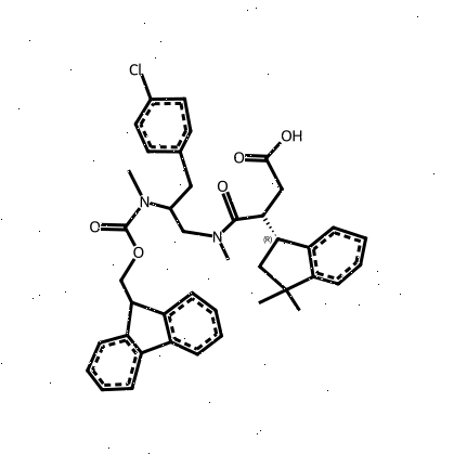 CN(CC(Cc1ccc(Cl)cc1)N(C)C(=O)OCC1c2ccccc2-c2ccccc21)C(=O)C(CC(=O)O)[C@H]1CC(C)(C)c2ccccc21